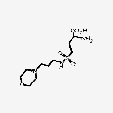 N[C@@H](CCS(=O)(=O)NCCCN1CCOCC1)C(=O)O